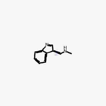 CN/C=C1\C=Nc2ccccc21